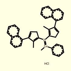 CC1=[C]([Zr]([C]2=C(C)C(c3cccc4ccccc34)=CC2)=[Ge]([CH3])[c]2ccccc2)CC=C1c1cccc2ccccc12.Cl